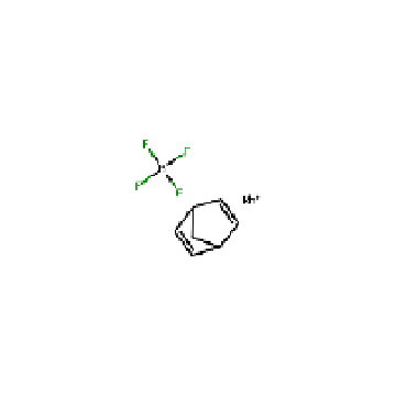 C1=CC2C=CC1C2.F[B-](F)(F)F.[Rh+]